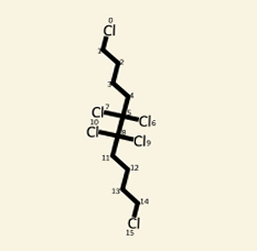 ClCCCCC(Cl)(Cl)C(Cl)(Cl)CCCCCl